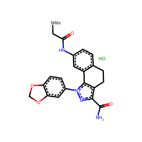 CNCC(=O)Nc1ccc2c(c1)-c1c(c(C(N)=O)nn1-c1ccc3c(c1)OCO3)CC2.Cl